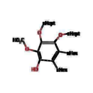 CCCCCCCOc1c(CCCCCC)c(CCCCCC)c(O)c(OC(=O)O)c1OCCCCCCC